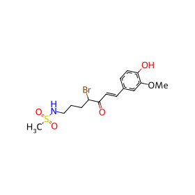 COc1cc(C=CC(=O)C(Br)CCCNS(C)(=O)=O)ccc1O